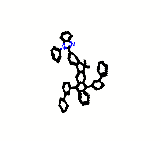 CC1(C)c2cc(-c3nc4ccccc4n3-c3ccccc3)ccc2-c2cc3c(-c4cccc(-c5ccccc5)c4)c4ccccc4c(-c4cccc(-c5ccccc5)c4)c3cc21